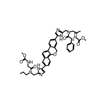 CCCN(Cc1ncc(-c2ccc3c4c(ccc3c2)-c2ccc(-c3cnc(CN(CCC)C(=O)[C@H](NC(=O)OC)c5ccccc5)[nH]3)cc2CO4)[nH]1)C(=O)CNC(=O)OC